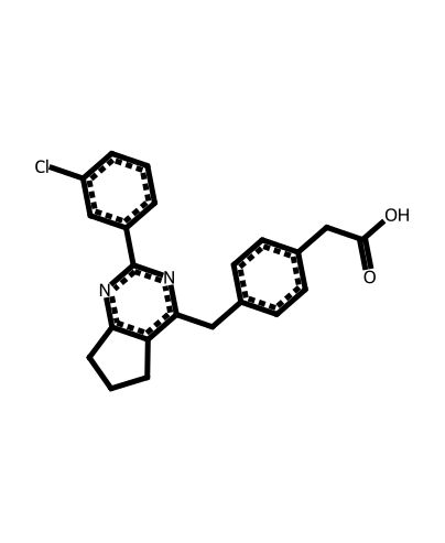 O=C(O)Cc1ccc(Cc2nc(-c3cccc(Cl)c3)nc3c2CCC3)cc1